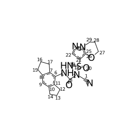 N#CN(C(=O)Nc1c2c(cc3c1CCC3)CCC2)[S@](=N)(=O)c1cnn2c1OCCC2